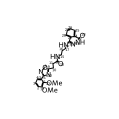 COc1cccc(-c2noc(CCC(=O)NCCCNc3n[nH]c(=O)c4ccccc34)n2)c1OC